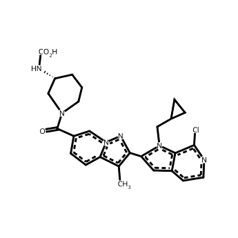 Cc1c(-c2cc3ccnc(Cl)c3n2CC2CC2)nn2cc(C(=O)N3CCC[C@@H](NC(=O)O)C3)ccc12